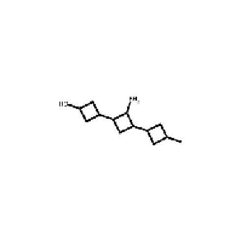 BC1C(C2CC(C)C2)CC1C1CC(O)C1